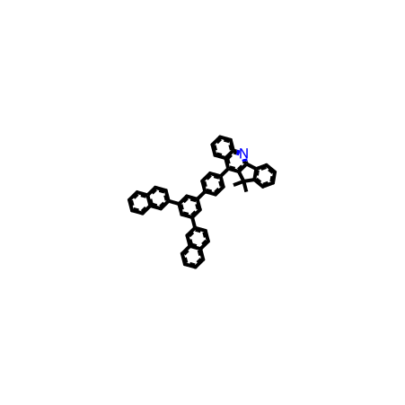 CC1(C)c2ccccc2-c2nc3ccccc3c(-c3ccc(-c4cc(-c5ccc6ccccc6c5)cc(-c5ccc6ccccc6c5)c4)cc3)c21